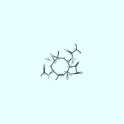 C=C1C(=O)O[C@@H]2/C=C(/C)[C@@H](OC(C)=O)C[C@H]3O[C@]3(C)C[C@@H](OC(=O)C(C)C)[C@@H]12